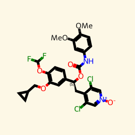 COc1ccc(NC(=O)O[C@@H](Cc2c(Cl)c[n+]([O-])cc2Cl)c2ccc(OC(F)F)c(OCC3CC3)c2)cc1OC